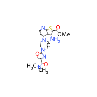 COC(=O)c1sc2nccc(N3CCCN(c4nc(C(=O)N(C)C)co4)CC3)c2c1N